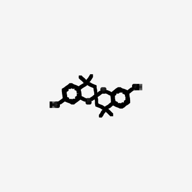 CC1(C)CC2(CC(C)(C)c3ccc(O)cc3O2)Oc2cc(O)ccc21